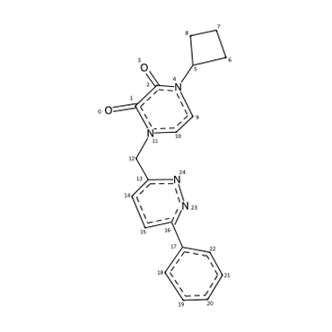 O=c1c(=O)n(C2CCC2)ccn1Cc1ccc(-c2ccccc2)nn1